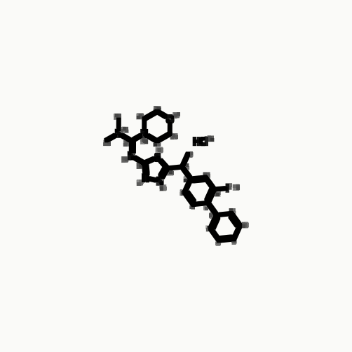 CC(c1ccc(-c2ccccc2)c(F)c1)c1nnc(N=C(N(C)C)N2CCOCC2)s1.Cl